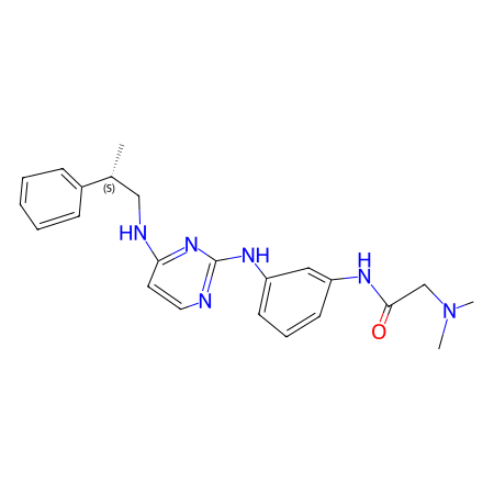 C[C@H](CNc1ccnc(Nc2cccc(NC(=O)CN(C)C)c2)n1)c1ccccc1